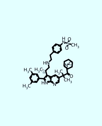 Cc1cc(C)cc(-c2[nH]c3ncc(C(C)(C)C(=O)N4CC5CCC4CC5)cc3c2[C@H](C)CNCCc2ccc(NS(C)(=O)=O)cc2)c1